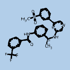 C[C@H](Nc1cncc(-c2cccc(S(C)(=O)=O)c2)n1)c1cccc(NC(=O)c2cccc(C(F)(F)F)c2)c1